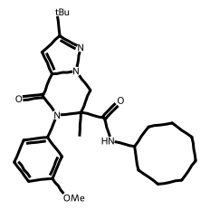 COc1cccc(N2C(=O)c3cc(C(C)(C)C)nn3CC2(C)C(=O)NC2CCCCCCC2)c1